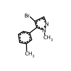 Cc1cccc(-c2c(Br)cnn2C)c1